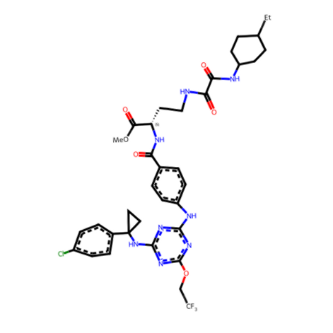 CCC1CCC(NC(=O)C(=O)NCC[C@H](NC(=O)c2ccc(Nc3nc(NC4(c5ccc(Cl)cc5)CC4)nc(OCC(F)(F)F)n3)cc2)C(=O)OC)CC1